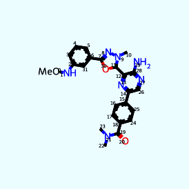 CONc1cccc(C2=NN(C)C(c3nc(-c4ccc(C(=O)N(C)C)cc4)cnc3N)O2)c1